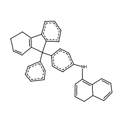 C1=CC2=C(Nc3ccc(C4(c5ccccc5)C5=C(CCC=C5)c5ccccc54)cc3)C=CCC2C=C1